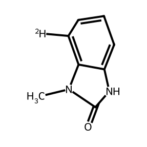 [2H]c1cccc2[nH]c(=O)n(C)c12